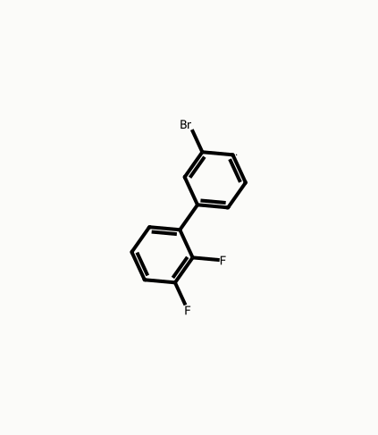 Fc1cccc(-c2cc[c]c(Br)c2)c1F